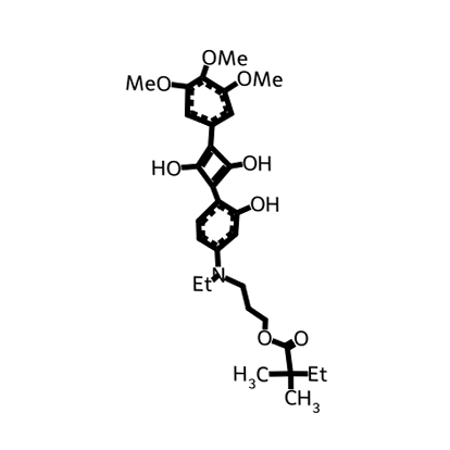 CCN(CCCOC(=O)C(C)(C)CC)c1ccc(C2=C(O)C(c3cc(OC)c(OC)c(OC)c3)=C2O)c(O)c1